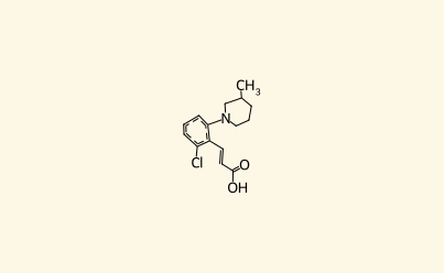 CC1CCCN(c2cccc(Cl)c2/C=C/C(=O)O)C1